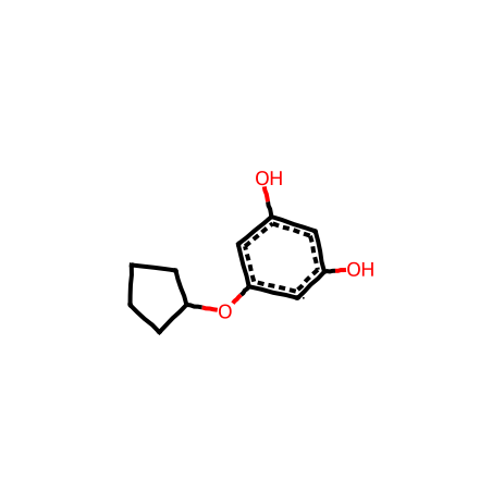 Oc1[c]c(OC2CCCC2)cc(O)c1